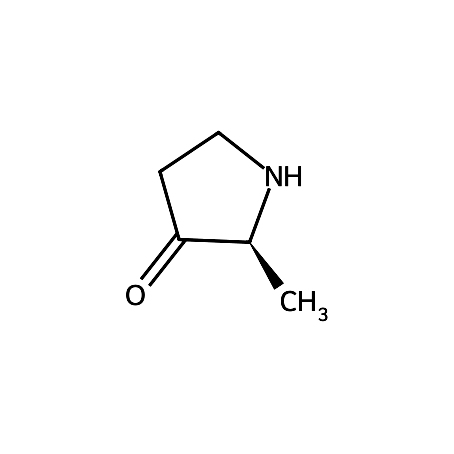 C[C@@H]1NCCC1=O